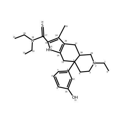 CCN1CCC2(c3cccc(O)c3)Cc3[nH]c(C(=S)N(CC)CC)c(C)c3CC2C1